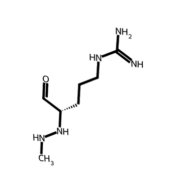 CNN[C@H](C=O)CCCNC(=N)N